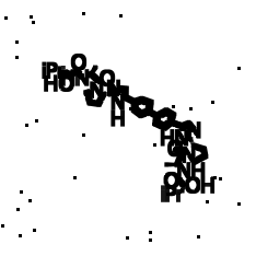 CC(C)C(O)C(=O)N[C@@H](C)C(=O)N1CCC[C@H]1c1ncc(-c2ccc(-c3ccc(-c4cnc([C@@H]5CCCN5C(=O)[C@H](C)NC(=O)[C@H](O)C(C)C)[nH]4)cc3)cc2)[nH]1